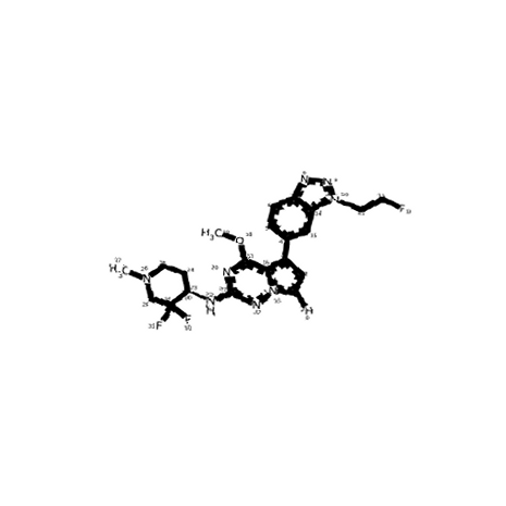 [2H]c1cc(-c2ccc3nnn(CCF)c3c2)c2c(OC)nc(N[C@@H]3CCN(C)CC3(F)F)nn12